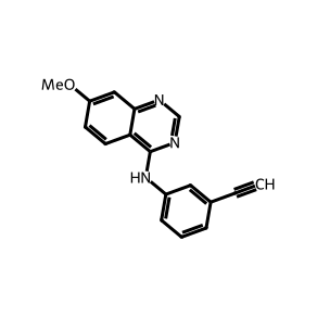 C#Cc1cccc(Nc2ncnc3cc(OC)ccc23)c1